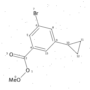 COOC(=O)c1cc(Br)cc(C2CC2)c1